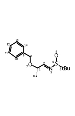 C[C@@H](/C=N/[S@@+]([O-])C(C)(C)C)OCc1ccccc1